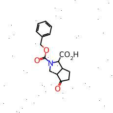 O=C1CCC2C1CN(C(=O)OCc1ccccc1)C2C(=O)O